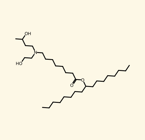 CCCCCCCCC(CCCCCCCC)OC(=O)CCCCCCCN(CCO)CCC(C)O